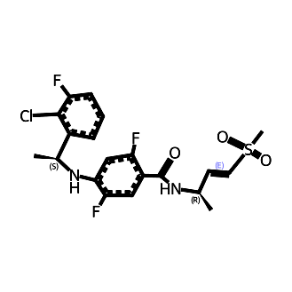 C[C@H](/C=C/S(C)(=O)=O)NC(=O)c1cc(F)c(N[C@@H](C)c2cccc(F)c2Cl)cc1F